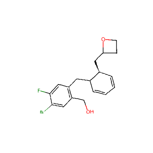 OCc1cc(Br)c(F)cc1CC1C=CC=C[C@@H]1CC1CCO1